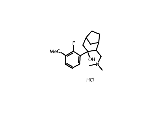 COc1cccc(C2(O)CC3CCC(C3)C2CN(C)C)c1F.Cl